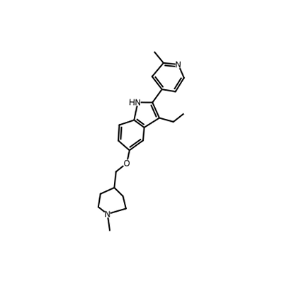 CCc1c(-c2ccnc(C)c2)[nH]c2ccc(OCC3CCN(C)CC3)cc12